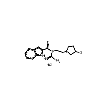 Cl.N=C(N)N(CCN1CCC(Cl)C1)C(=O)c1cc2ccccc2[nH]1